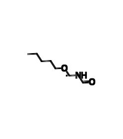 CCCCCO[CH]NC=O